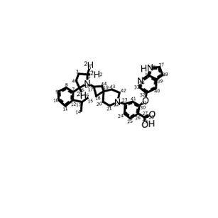 [2H]C1([2H])CCC([2H])(c2ccccc2C(C)C)N1C1CC2(CCN(c3ccc(C(=O)O)c(Oc4cnc5[nH]ccc5c4)c3)CC2)C1